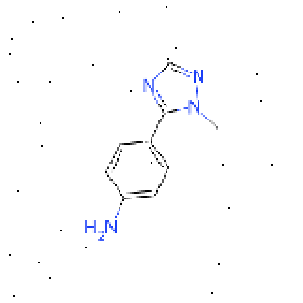 Cn1ncnc1-c1ccc(N)cc1